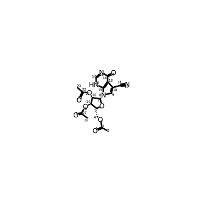 CC(=O)OC[C@H]1O[C@@H](n2cc(C#N)c3c(=O)nc[nH]c32)[C@H](OC(C)=O)[C@@H]1OC(C)=O